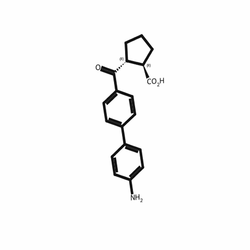 Nc1ccc(-c2ccc(C(=O)[C@@H]3CCC[C@H]3C(=O)O)cc2)cc1